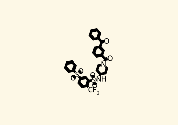 O=C(c1ccccc1)c1cccc(C(=O)N2CCC(NS(=O)(=O)c3cc(S(=O)(=O)c4ccccc4)ccc3C(F)(F)F)CC2)c1